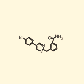 NC(=O)c1cccc(Cc2ncc(-c3ccc(Br)cc3)cn2)c1